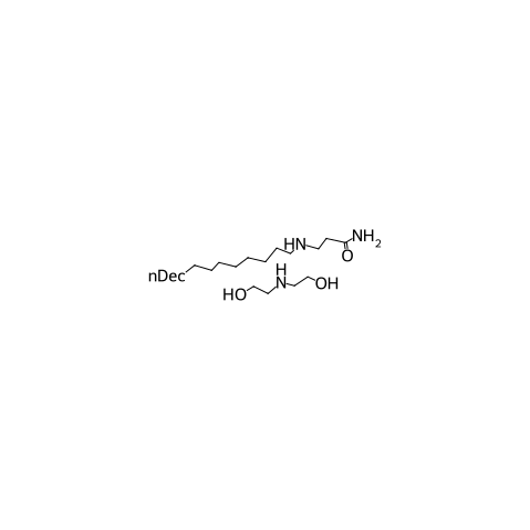 CCCCCCCCCCCCCCCCCCNCCC(N)=O.OCCNCCO